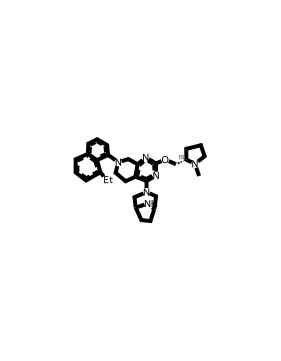 CCc1cccc2cccc(N3CCc4c(nc(OC[C@@H]5CCCN5C)nc4N4CC5CCC(C4)N5)C3)c12